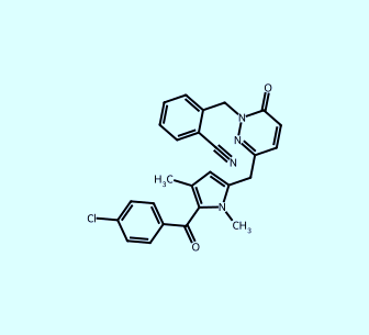 Cc1cc(Cc2ccc(=O)n(Cc3ccccc3C#N)n2)n(C)c1C(=O)c1ccc(Cl)cc1